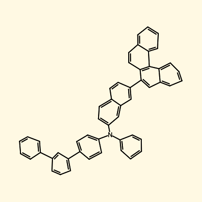 c1ccc(-c2cccc(-c3ccc(N(c4ccccc4)c4ccc5ccc(-c6cc7ccccc7c7c6ccc6ccccc67)cc5c4)cc3)c2)cc1